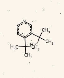 CC(C)(C)c1ccncc1C(C)(C)C